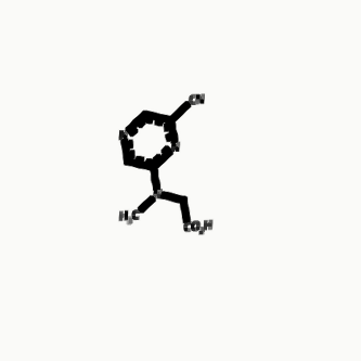 CN(CC(=O)O)c1cncc(C#N)n1